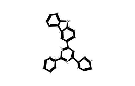 c1ccc(-c2cc(-c3ccc4oc5ccccc5c4c3)nc(-c3ccccc3)n2)cc1